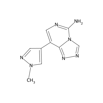 Cn1cc(-c2cnc(N)n3cnnc23)cn1